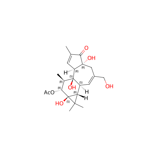 CC(=O)O[C@@H]1[C@@H](C)[C@]2(O)[C@H]3C=C(C)C(=O)[C@@]3(O)CC(CO)=C[C@H]2[C@@H]2C(C)(C)[C@]12O